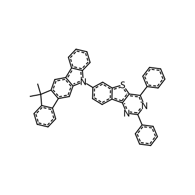 CC1(C)c2ccccc2-c2cc3c(cc21)c1ccccc1n3-c1ccc2c(c1)sc1c(-c3ccccc3)nc(-c3ccccc3)nc12